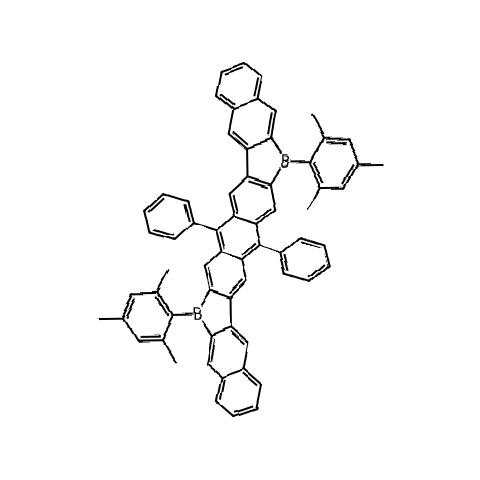 Cc1cc(C)c(B2c3cc4ccccc4cc3-c3cc4c(-c5ccccc5)c5cc6c(cc5c(-c5ccccc5)c4cc32)-c2cc3ccccc3cc2B6c2c(C)cc(C)cc2C)c(C)c1